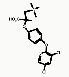 CC(C[Si](C)(C)C)(Oc1ccc(Oc2ncc(Cl)cc2Cl)cc1)C(=O)O